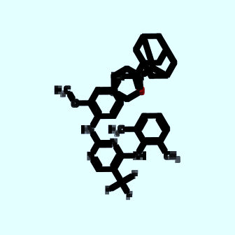 COc1cc(NC(=O)C23CC4CC(C2)C(N2CCOCC2)C(C4)C3)ccc1Nc1ncc(C(F)(F)F)c(Nc2c(C)cccc2C)n1